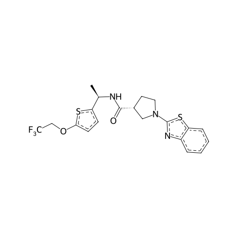 C[C@@H](NC(=O)[C@@H]1CCN(c2nc3ccccc3s2)C1)c1ccc(OCC(F)(F)F)s1